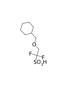 O=S(=O)(O)C(F)(F)COCC1CCCCC1